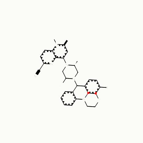 CC1CN(c2cc(=O)n(C)c3ccc(C#N)nc23)[C@@H](C)CN1C(c1ccc(F)cc1)c1ccccc1N1CCOCC1